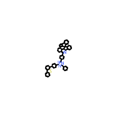 c1ccc(-c2nc(-c3ccc(-c4nc5c(c6ccccc46)C4(c6ccccc6-c6ccccc64)c4ccccc4-5)cc3)nc(-c3ccc(-c4cccc5c4sc4ccccc45)cc3)n2)cc1